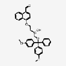 COc1ccc(C(OC[C@@H](O)CCOc2ccc(C=O)c3ccccc23)(c2ccccc2)c2ccc(OC)cc2)cc1